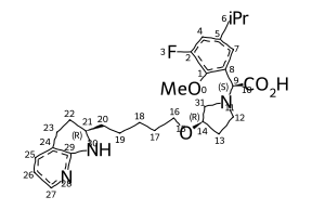 COc1c(F)cc(C(C)C)cc1[C@@H](C(=O)O)N1CC[C@@H](OCCCCC[C@@H]2CCc3cccnc3N2)C1